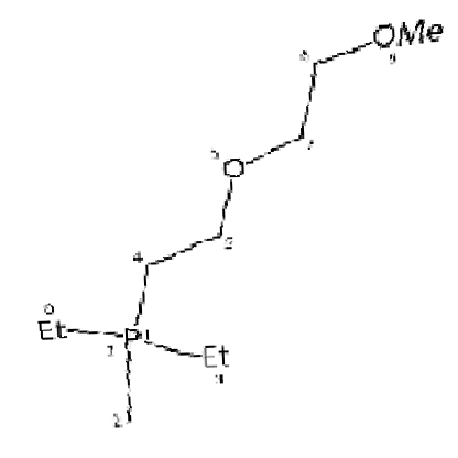 CC[P+](C)(CC)CCOCCOC